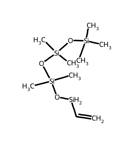 C=C[SiH2]O[Si](C)(C)O[Si](C)(C)O[Si](C)(C)C